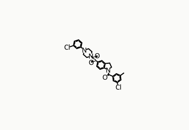 Cc1cc(Cl)cc(C(=O)N2CCc3cc(S(=O)(=O)N4CCN(c5cccc(Cl)c5)CC4)ccc32)c1